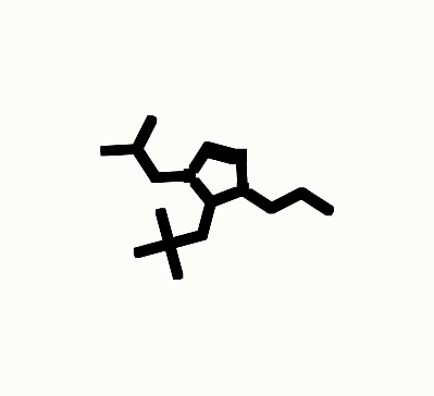 CCCN1N=CN(CC(C)C)C1CC(C)(C)C